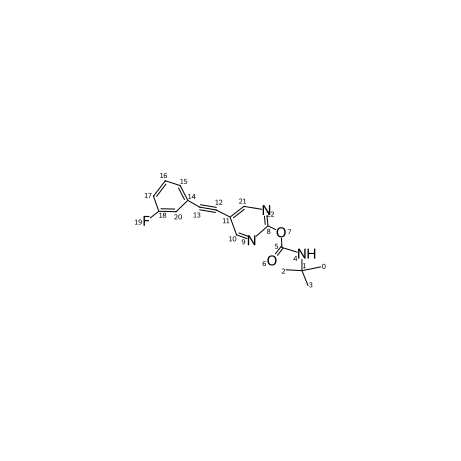 CC(C)(C)NC(=O)Oc1ncc(C#Cc2cccc(F)c2)cn1